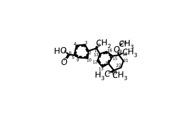 C=C(c1ccc(C(=O)O)cc1)c1ccc2c(c1)C(C)(OC)CCC2(C)C